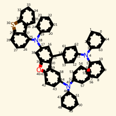 c1ccc(N(c2ccccc2)c2ccc(-c3cc(N(c4ccccc4)c4cccc5sc6ccccc6c45)cc4oc5ccc(N(c6ccccc6)c6ccccc6)cc5c34)cc2)cc1